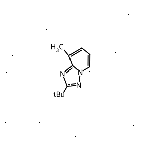 Cc1cccn2nc(C(C)(C)C)nc12